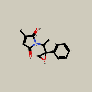 CC1=CC(=O)N(C(C)C2(c3ccccc3)CO2)C1=O